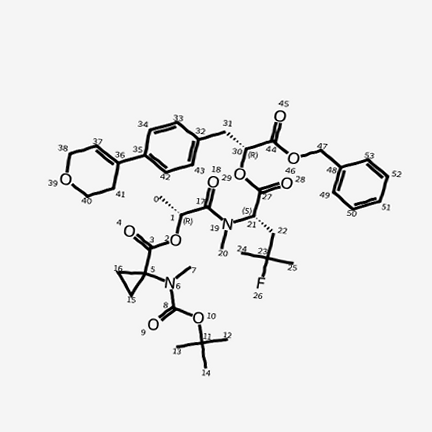 C[C@@H](OC(=O)C1(N(C)C(=O)OC(C)(C)C)CC1)C(=O)N(C)[C@@H](CC(C)(C)F)C(=O)O[C@H](Cc1ccc(C2=CCOCC2)cc1)C(=O)OCc1ccccc1